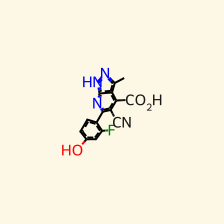 Cc1n[nH]c2nc(-c3ccc(O)cc3F)c(C#N)c(C(=O)O)c12